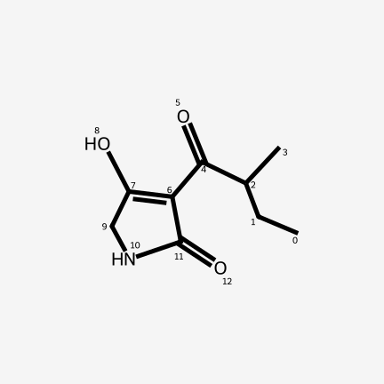 CCC(C)C(=O)C1=C(O)CNC1=O